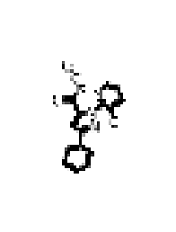 O=C=NC(=O)c1cc(-c2ccccc2)nn1-c1ncccc1Cl